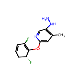 Cc1cc(OC2=C(F)C=CC[C@H]2F)ncc1NN